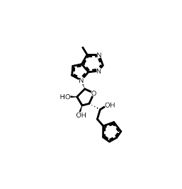 Cc1ncnc2c1ccn2[C@@H]1O[C@H](C(O)Cc2ccccc2)[C@@H](O)[C@H]1O